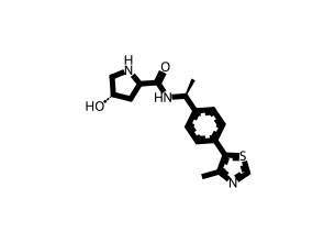 Cc1ncsc1-c1ccc([C@H](C)NC(=O)C2C[C@H](O)CN2)cc1